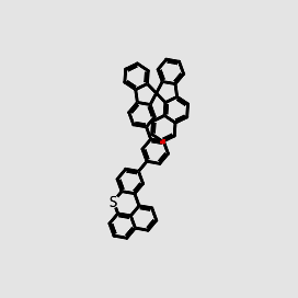 c1cc(-c2ccc3c(c2)-c2cccc4cccc(c24)S3)cc(-c2ccc3c(c2)C2(c4ccccc4-3)c3ccccc3-c3ccc4ccccc4c32)c1